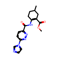 COC(=O)C1=C(NC(=O)c2ccc(-n3ccnc3)nn2)CCC(C)C1